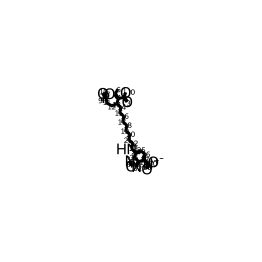 COC(=O)C1=C(C)OP(C)(=O)CCC1CCCCCCCCCNc1ccc([N+](=O)[O-])c2nonc12